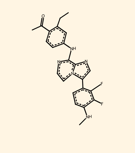 CCc1cc(Nc2nccn3c(-c4ccc(NC)c(F)c4F)cnc23)ccc1C(C)=O